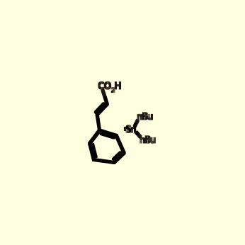 CCC[CH2][Sn][CH2]CCC.O=C(O)C=Cc1ccccc1